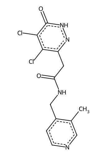 Cc1cnccc1CNC(=O)Cc1n[nH]c(=O)c(Cl)c1Cl